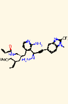 C=CC(=O)NC[C@H](C/C(=C/C)COC)Cc1ccnc(N)c1/C(C#Cc1ccc2c(c1)nc(C(F)(F)F)n2C)=N\N